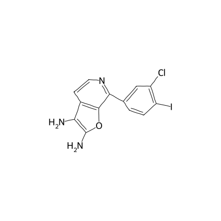 Nc1oc2c(-c3ccc(I)c(Cl)c3)nccc2c1N